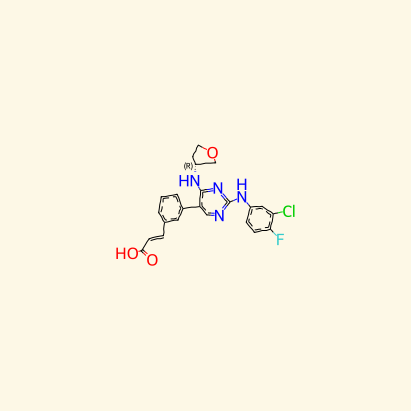 O=C(O)C=Cc1cccc(-c2cnc(Nc3ccc(F)c(Cl)c3)nc2N[C@@H]2CCOC2)c1